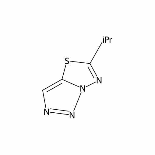 CC(C)c1nn2nncc2s1